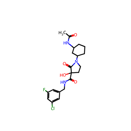 CC(=O)NC1CCCC(N2CCC(O)(C(=O)NCc3cc(F)cc(Cl)c3)C2=O)C1